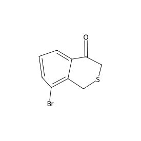 O=C1CSCc2c(Br)cccc21